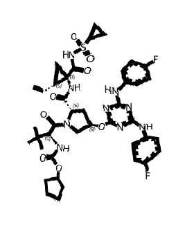 C=C[C@@H]1C[C@]1(NC(=O)[C@@H]1C[C@@H](Oc2nc(Nc3ccc(F)cc3)nc(Nc3ccc(F)cc3)n2)CN1C(=O)[C@@H](NC(=O)OC1CCCC1)C(C)(C)C)C(=O)NS(=O)(=O)C1CC1